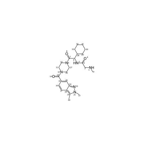 CNCC(=O)NC(C(=O)N1CCN(C(=O)c2ccc3c(C)n(C)nc3c2)CC1)C1CCCCC1